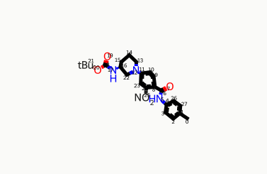 Cc1ccc(NC(=O)c2ccc(N3CCC[C@H](NC(=O)OC(C)(C)C)C3)cc2[N+](=O)[O-])cc1